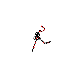 CCCCC/C=C\C/C=C\C/C=C\C/C=C\CCCC(=O)OCC(COC(=O)CCCCCCCCCCCCCCCCC)OC(=O)CCCCCCC/C=C\CCCCCCCC